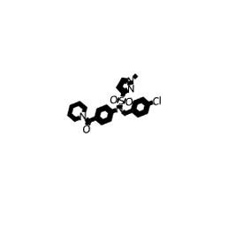 Cn1ccc(S(=O)(=O)N(Cc2ccc(Cl)cc2)c2ccc(C(=O)N3CCCCC3)cc2)n1